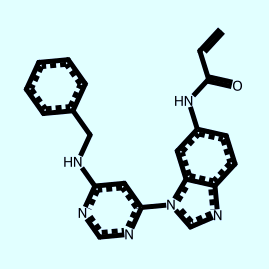 C=CC(=O)Nc1ccc2ncn(-c3cc(NCc4ccccc4)ncn3)c2c1